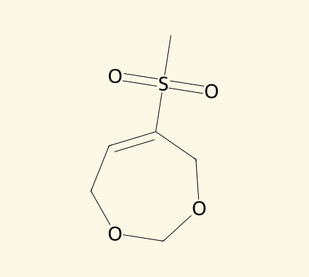 CS(=O)(=O)C1=CCOCOC1